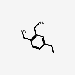 CCc1ccc(CN)c(CN)c1